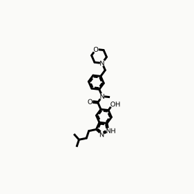 CC(C)CCc1n[nH]c2cc(O)c(C(=O)N(C)c3cccc(CN4CCOCC4)c3)cc12